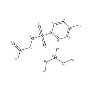 CC(=O)COS(=O)(=O)c1ccc(C)cc1.CCN(C)CC